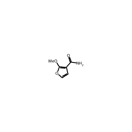 COc1occc1C(N)=O